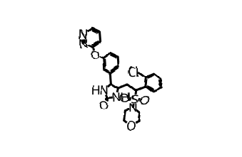 O=C1NC(CC(c2ccccc2Cl)S(=O)(=O)N2CCOCC2)C(c2cccc(Oc3cccnn3)c2)N1